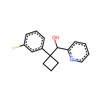 OC(c1ccccn1)C1(c2cccc(F)c2)CCC1